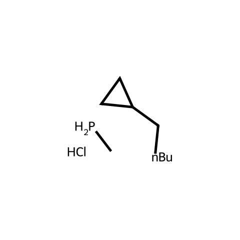 CCCCCC1CC1.CP.Cl